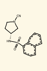 N#CN1CC[C@@H](NS(=O)(=O)c2cccc3ccccc23)C1